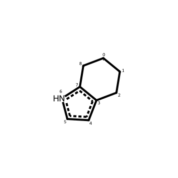 [CH]1CCc2cc[nH]c2C1